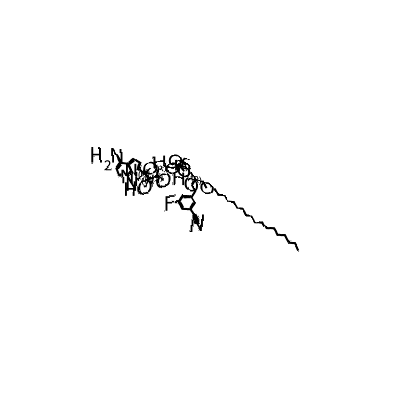 CCCCCCCCCCCCCCCCCCOC[C@H](CO[P@](O)(=S)OC[C@H]1O[C@@](C#N)(c2ccc3c(N)ccnn23)[C@H](O)[C@@H]1O)OCc1cc(F)cc(C#N)c1